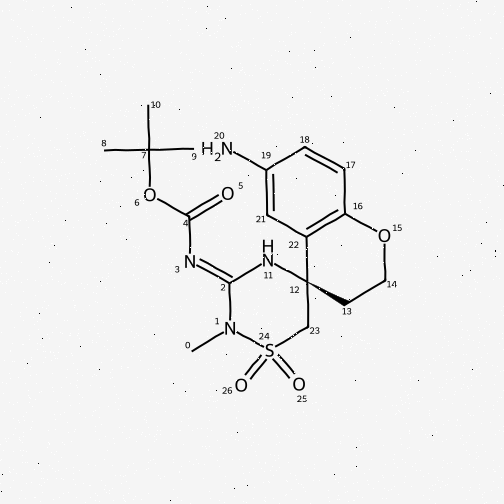 CN1/C(=N/C(=O)OC(C)(C)C)N[C@@]2(CCOc3ccc(N)cc32)CS1(=O)=O